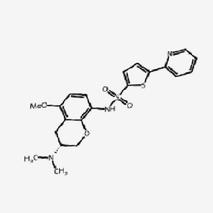 COc1ccc(NS(=O)(=O)c2ccc(-c3ccccn3)s2)c2c1C[C@@H](N(C)C)CO2